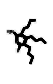 CCCCc1c(F)n[c]([SnH3])c(CCCC)c1CCCC